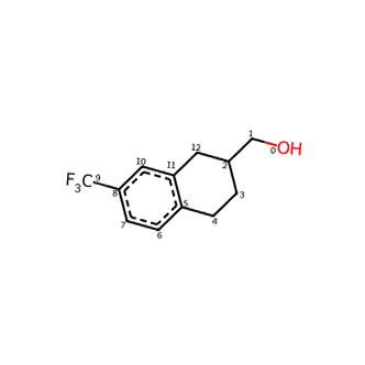 OCC1CCc2ccc(C(F)(F)F)cc2C1